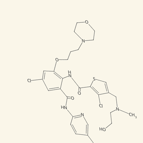 CN(CCO)Cc1csc(C(=O)Nc2c(OCCCN3CCOCC3)cc(Cl)cc2C(=O)Nc2ccc(Cl)cn2)c1Cl